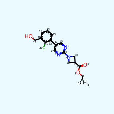 CCOC(=O)C1CN(c2ncc(-c3cccc(CO)c3F)cn2)C1